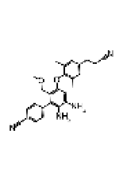 COCc1c(Oc2c(C)cc(CCC#N)cc2C)cc(N)c(N)c1-c1ccc(C#N)cc1